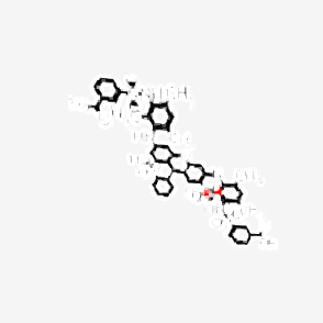 Cc1cc(C)c(NS(=O)(=O)c2cccc(C(=O)O)c2)c(C)c1N=c1cc2oc3cc(Nc4c(C)cc(C)c(NS(=O)(=O)c5cccc(C(=O)O)c5)c4C)ccc3c(-c3ccccc3S(=O)(=O)O)c-2cc1S(=O)(=O)O